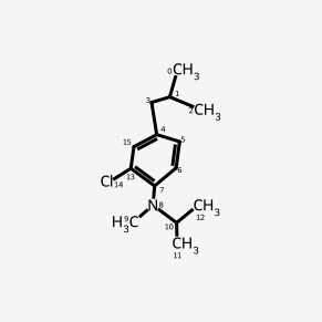 CC(C)Cc1ccc(N(C)C(C)C)c(Cl)c1